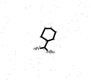 [CH2]CCC(CCCC)C1CCCCC1